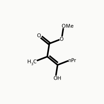 CCCC(O)=C(C)C(=O)OOC